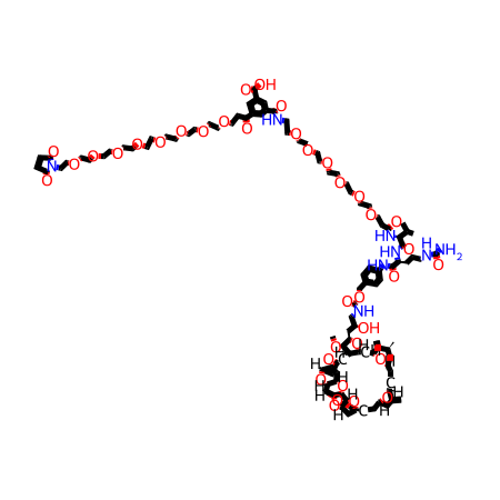 C=C1C[C@@H]2CC[C@@]34C[C@H]5OC6C(O[C@H]7CC[C@H](CC(=O)C[C@@H]8[C@@H](OC)[C@@H](C[C@H](O)CNC(=O)OCc9ccc(NC(=O)[C@H](CCCNC(N)=O)NC(=O)[C@@H](NC(=O)CCOCCOCCOCCOCCOCCOCCNC(=O)c%10cc(C(=O)O)cc(C(=O)CCOCCOCCOCCOCCOCCOCCOCCOCCN%11C(=O)C=CC%11=O)c%10)C(C)C)cc9)O[C@H]8C[C@H]8O[C@@H](CC[C@@H]1O2)C[C@@H](C)C8=C)O[C@@H]7[C@@H]6O3)[C@H]5O4